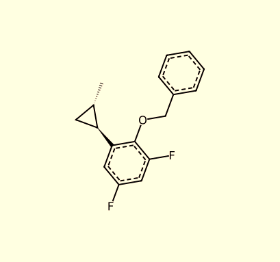 C[C@H]1C[C@@H]1c1cc(F)cc(F)c1OCc1ccccc1